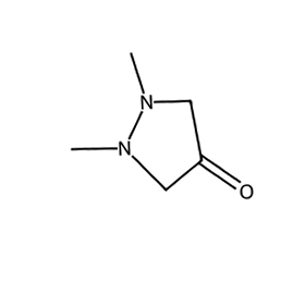 CN1CC(=O)CN1C